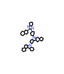 c1ccc2cc(-c3nc4ccccc4nc3-c3ccc(-n4c5ccc(-n6c7ccccc7c7c8ccccc8ccc76)cc5c5cc6ccccc6cc54)cc3)ccc2c1